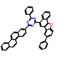 c1ccc(-c2ccc3oc4c5ccccc5c(-c5nc(-c6ccccc6)nc(-c6ccc7c(ccc8c9ccccc9ccc78)c6)n5)cc4c3c2)cc1